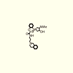 CNC1CN([S+]([O-])c2ccccc2OCC(=O)NCCCN2CCc3ccccc3C2)CC1O